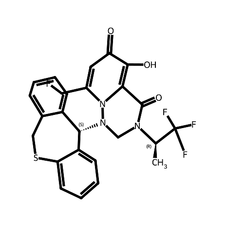 C[C@@H](N1CN([C@H]2c3ccccc3CSc3ccccc32)n2c(CF)cc(=O)c(O)c2C1=O)C(F)(F)F